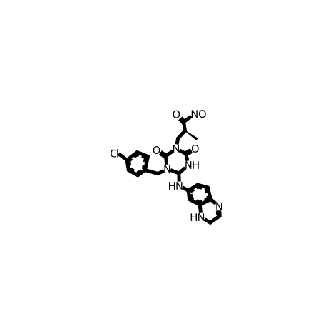 C[C@@H](CN1C(=O)NC(Nc2ccc3c(c2)NCC=N3)N(Cc2ccc(Cl)cc2)C1=O)C(=O)N=O